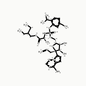 C=NC[C@@]1(c2ccc3c(N)ncnn23)O[C@H](COP(=O)(N[C@@H](C)C(=O)OCC(CC)CC)Oc2cc(C)ccc2C(C)C)[C@@H](O)[C@H]1O